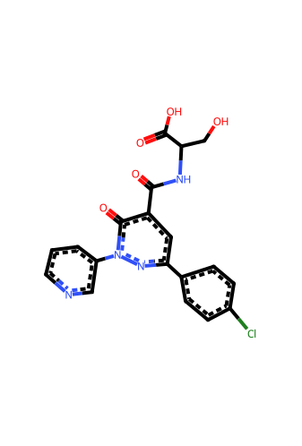 O=C(NC(CO)C(=O)O)c1cc(-c2ccc(Cl)cc2)nn(-c2cccnc2)c1=O